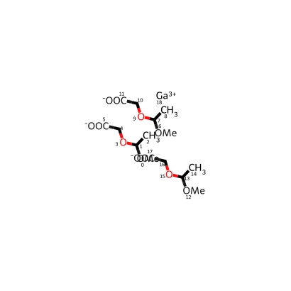 COC(C)OCC(=O)[O-].COC(C)OCC(=O)[O-].COC(C)OCC(=O)[O-].[Ga+3]